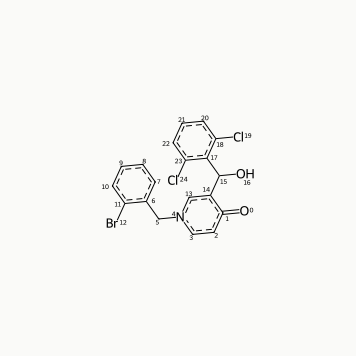 O=c1ccn(Cc2ccccc2Br)cc1C(O)c1c(Cl)cccc1Cl